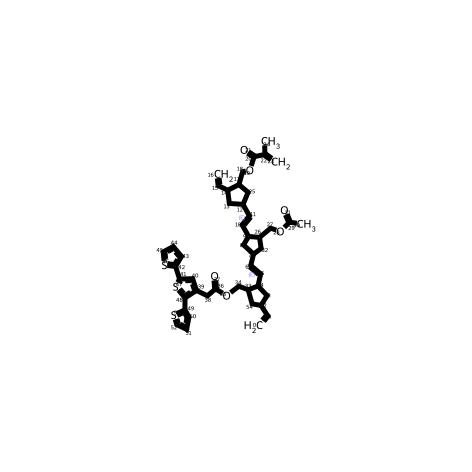 C=CC1CC(/C=C/C2CC(/C=C/C3CC(C=C)C(COC(=O)C(=C)C)C3)C(COC(C)=O)C2)C(COC(=O)Cc2cc(-c3cccs3)sc2-c2cccs2)C1